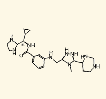 CN1CCNC1[C@H](NC(=O)c1cccc(NCC2NNC(C3CCNCN3)N2C)c1)C1CC1